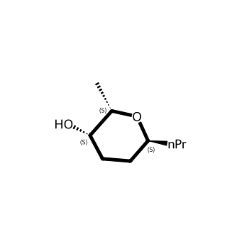 CCC[C@H]1CC[C@H](O)[C@H](C)O1